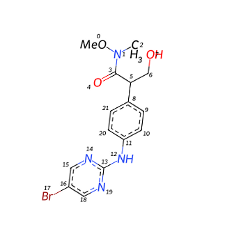 CON(C)C(=O)C(CO)c1ccc(Nc2ncc(Br)cn2)cc1